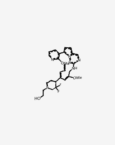 C=C/C=C(\C=C(/CNc1ncc2ccc(-c3cccnc3OC)n2n1)OC)C1CCN(CCO)CC1(F)F